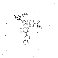 CC(NC(=O)[C@@H]1C[C@H](n2nncc2C(C)(C)O)CN1C(=O)C(C)NC(=O)c1ccc2ccccc2c1)C(=O)C(N)=O